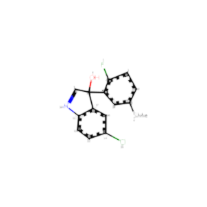 CSc1ccc(F)c(C2(O)C=Nc3ccc(Cl)cc32)c1